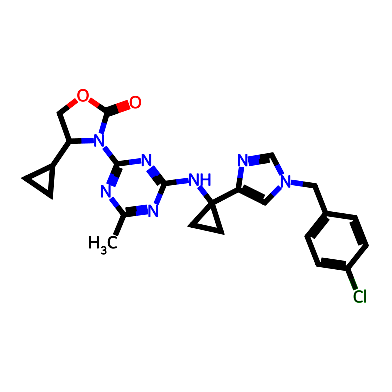 Cc1nc(NC2(c3cn(Cc4ccc(Cl)cc4)cn3)CC2)nc(N2C(=O)OCC2C2CC2)n1